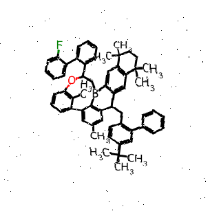 Cc1cc2c3c(c1)C(Cc1ccc(C(C)(C)C)cc1-c1ccccc1)c1cc4c(cc1B3CC(c1ccccc1-c1ccccc1F)Oc1cccc-2c1C)C(C)(C)CCC4(C)C